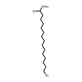 CCCCCCC(CC)CCCCCCCCCCCCCCC(C)=O